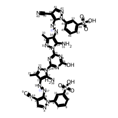 [C-]#[N+]c1cnn(-c2cccc(S(=O)(=O)O)c2)c1/N=N/c1c(C)nn(-c2nc(O)nc(-n3nc(C)c(/N=N/c4c(C#N)cnn4-c4cccc(S(=O)(=O)O)c4)c3N)n2)c1N